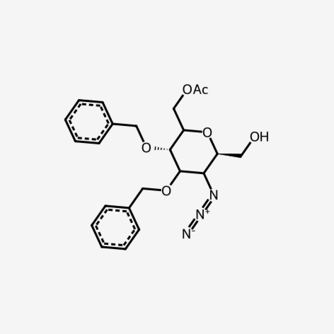 CC(=O)OCC1O[C@@H](CO)C(N=[N+]=[N-])C(OCc2ccccc2)[C@@H]1OCc1ccccc1